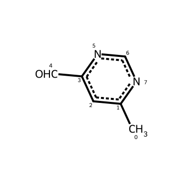 Cc1cc(C=O)ncn1